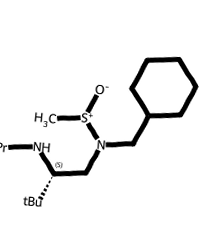 CC(C)N[C@H](CN(CC1CCCCC1)[S+](C)[O-])C(C)(C)C